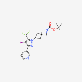 CC(C)(C)OC(=O)N1CC2(CC(n3nc(-c4cccnc4)c(I)c3C(F)F)C2)C1